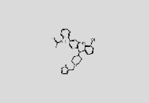 CC(=O)Nc1ccccc1-c1ccc2c(c1)Oc1c(O)cccc1C2C1CCN(Cc2cccs2)CC1